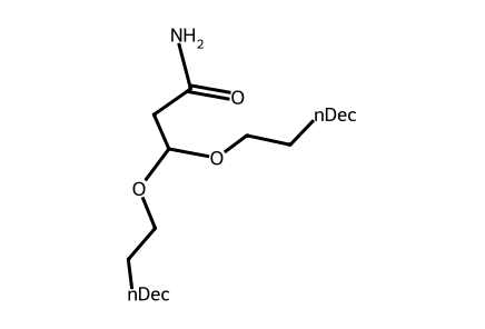 CCCCCCCCCCCCOC(CC(N)=O)OCCCCCCCCCCCC